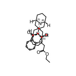 CCOC(=O)Cn1c(=O)n([C@@H]2C[C@H]3CCC[C@@H](C2)N3[C@H]2C[C@@H]3CCCC[C@@H](C3)C2)c(=O)c2ccccc21